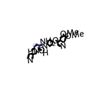 C=C/C=C\C(C(=O)NCc1cccnc1)=C(/N)Nc1ccc(Oc2ccnc3cc(OC)c(OC)cc23)cc1